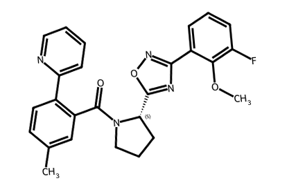 COc1c(F)cccc1-c1noc([C@@H]2CCCN2C(=O)c2cc(C)ccc2-c2ccccn2)n1